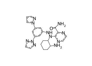 NC(=O)c1nccnc1N(Nc1cc(-n2cccn2)cc(-n2nccn2)c1)C1CCCCC1N